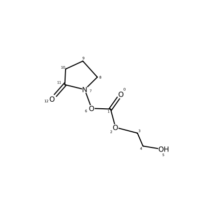 O=C(OCCO)ON1CCCC1=O